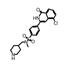 CN(CC1CCNCC1)S(=O)(=O)c1ccc(-c2cc3c(Cl)cccc3c(=O)[nH]2)cc1